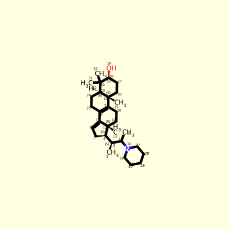 CC([C@@H](C)[C@H]1CC=C2C3=C(CC[C@@]21C)[C@@]1(C)CC[C@H](O)C(C)(C)[C@@H]1CC3)N1CCCCC1